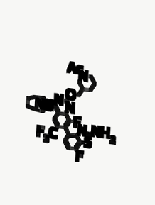 CC(=O)N1CCCC(COc2nc(N3CC4CCC(C3)N4)c3cc(C(F)(F)F)c(-c4ccc(F)c5sc(N)nc45)c(F)c3n2)C1